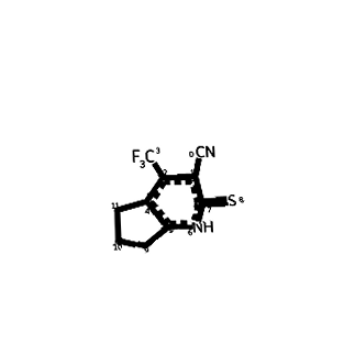 N#Cc1c(C(F)(F)F)c2c([nH]c1=S)CCC2